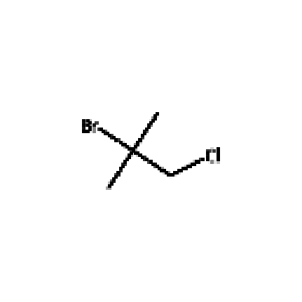 CC(C)(Br)CCl